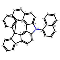 c1ccc(C23c4ccccc4-c4ccc5c(c42)c2c4c3cccc4ccc2n5-c2cccc3ccccc23)cc1